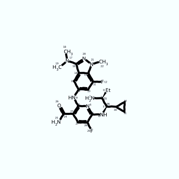 CC[C@H](N)[C@H](Nc1nc(Nc2cc(F)c3c(c2)c(N(C)C)nn3C)c(C(N)=O)cc1F)C1CC1